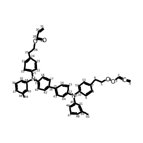 C=C=COOCCc1ccc(N(c2ccc(-c3ccc(N(c4ccc(CCOC(=O)C=C)cc4)c4cccc(C)c4)cc3)cc2)c2cccc(C)c2)cc1